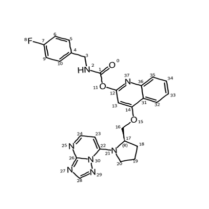 O=C(NCc1ccc(F)cc1)Oc1cc(OC[C@H]2CCCN2c2ccnc3ncnn23)c2ccccc2n1